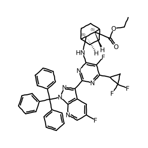 CCOC(=O)[C@H]1C2CCC(CC2)[C@@H]1Nc1nc(-c2nn(C(c3ccccc3)(c3ccccc3)c3ccccc3)c3ncc(F)cc23)nc(C2CC2(F)F)c1F